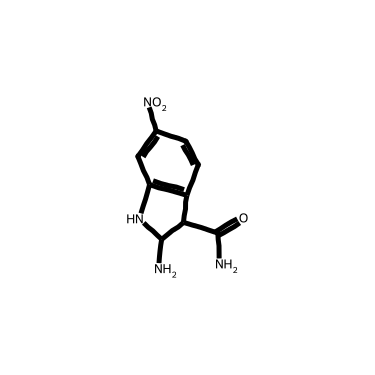 NC(=O)C1c2ccc([N+](=O)[O-])cc2NC1N